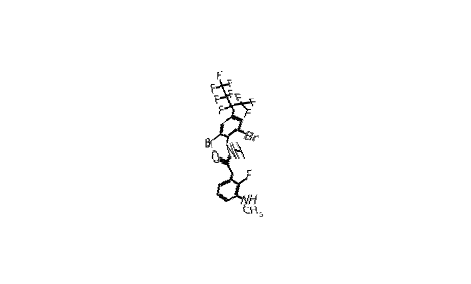 CNc1cccc(C(=O)Nc2c(Br)cc(C(F)(C(F)(F)F)C(F)(F)C(F)(F)F)cc2Br)c1F